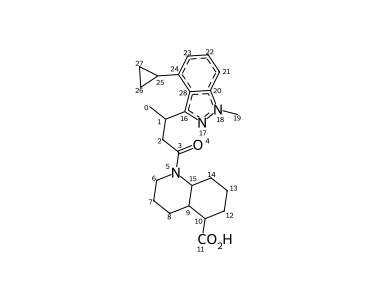 CC(CC(=O)N1CCCC2C(C(=O)O)CCCC21)c1nn(C)c2cccc(C3CC3)c12